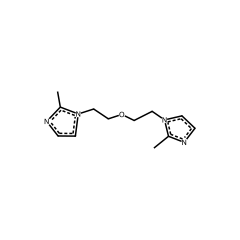 Cc1nccn1CCOCCn1ccnc1C